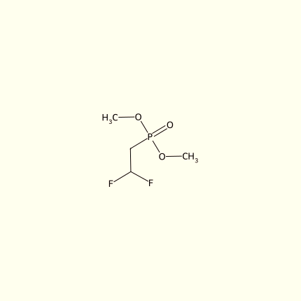 COP(=O)(CC(F)F)OC